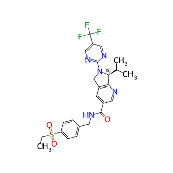 CCS(=O)(=O)c1ccc(CNC(=O)c2cnc3c(c2)CN(c2ncc(C(F)(F)F)cn2)[C@H]3C(C)C)cc1